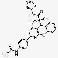 CC(=O)Nc1ccc(-c2ccc3c(n2)Oc2ccccc2[C@@H]3C(C)(C)C(=O)Nc2nncs2)cc1